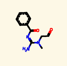 CN(CC=O)C(N)=NC(=O)c1ccccc1